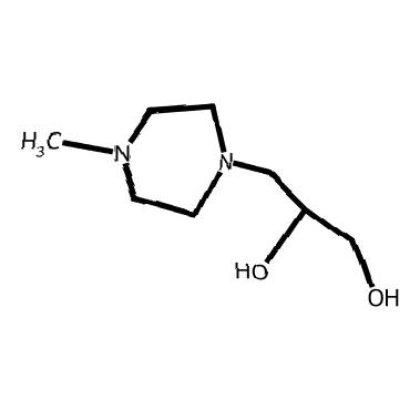 CN1CCN(CC(O)CO)CC1